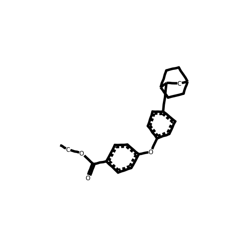 CCOC(=O)c1ccc(Oc2ccc(C3CC4CCC3CC4)cc2)cc1